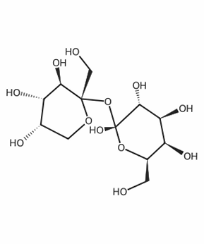 OC[C@H]1O[C@](O)(O[C@]2(CO)OC[C@H](O)[C@H](O)[C@H]2O)[C@H](O)[C@@H](O)[C@H]1O